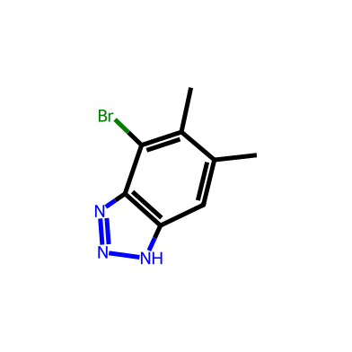 Cc1cc2[nH]nnc2c(Br)c1C